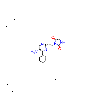 Nc1cnc(CCN2C(=O)CNC2=O)nc1-c1ccccc1